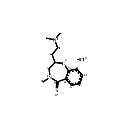 CN(C)CCC1CN(C)C(=S)c2ccccc2O1.Cl